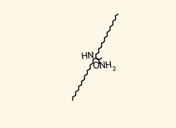 CCCCCCCCCCCCCCCCC(CCCCCCCCCCCCCCCC)=C(C)C(N)=O.CNC